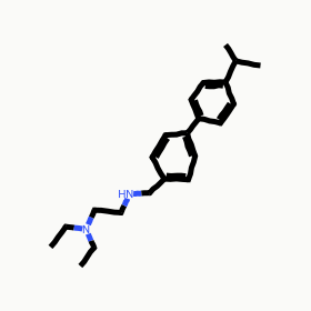 CCN(CC)CCNCc1ccc(-c2ccc(C(C)C)cc2)cc1